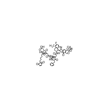 CC[C@@]1(O)C(=O)OCc2c1cc1n(c2=O)Cc2c-1nc1cc(F)c(C)c3c1c2[C@@H](NC(=O)CNC(=O)C(Cc1ccccc1)NC(=O)CNC(=O)CNC(=O)C(CC(=O)O)NC(=O)CCCCCN1C(=O)C=CC1=O)CC3